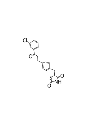 O=C1NC(=O)C(Cc2ccc(CCC(=O)c3cccc(Cl)c3)cc2)S1